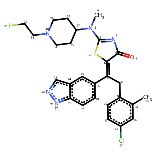 CN(C1=NC(=O)C(=C(Cc2ccc(Cl)cc2C(F)(F)F)c2ccc3[nH]ncc3c2)S1)C1CCN(CCF)CC1